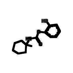 CC1(NC(=O)Oc2ccccc2O)CCCCC1